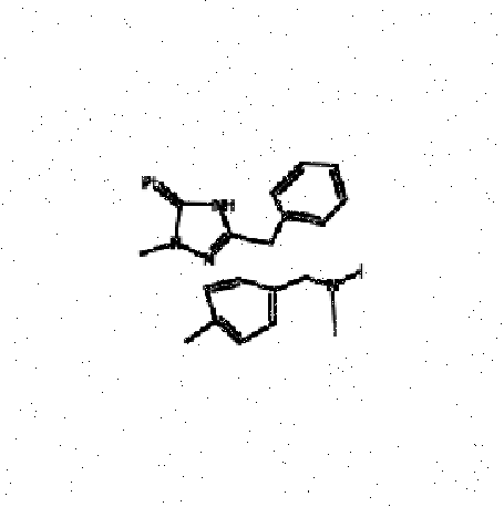 Cc1ccc(CN(I)I)cc1.Cn1nc(Cc2ccccc2)[nH][c]1=[Pt]